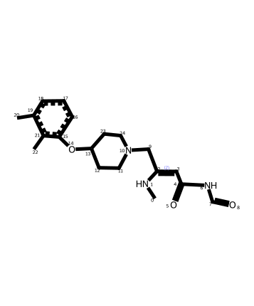 CN/C(=C\C(=O)NC=O)CN1CCC(Oc2cccc(C)c2C)CC1